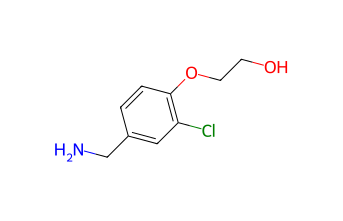 NCc1ccc(OCCO)c(Cl)c1